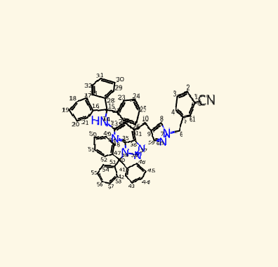 N#Cc1cccc(Cn2cc(Cc3cc(NC(c4ccccc4)(c4ccccc4)c4ccccc4)nc4c3nnn4C(c3ccccc3)(c3ccccc3)c3ccccc3)cn2)c1